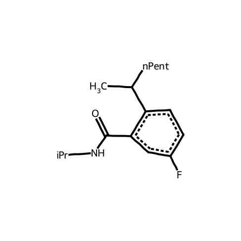 CCCCCC(C)c1ccc(F)cc1C(=O)NC(C)C